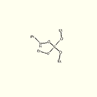 CCO[Si](OCC)(OCC)ONC(C)C